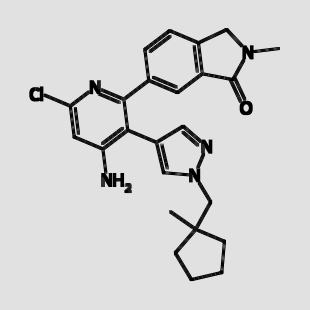 CN1Cc2ccc(-c3nc(Cl)cc(N)c3-c3cnn(CC4(C)CCCC4)c3)cc2C1=O